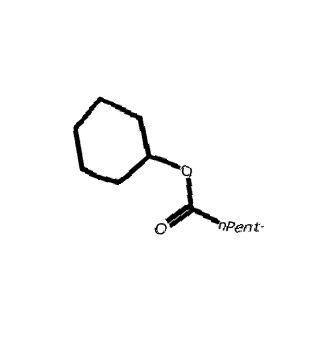 CCCC[CH]C(=O)OC1CCCCC1